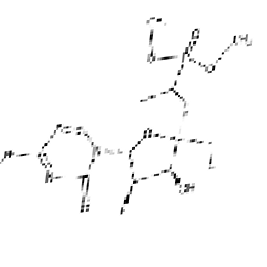 COP(=O)(OC)C(F)C[C@@]1(CCl)O[C@@H](n2ccc(N)nc2=O)[C@H](F)[C@@H]1O